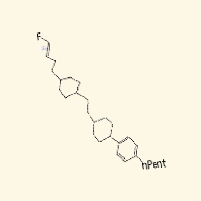 CCCCCc1ccc(C2CCC(CCC3CCC(CC/C=C/F)CC3)CC2)cc1